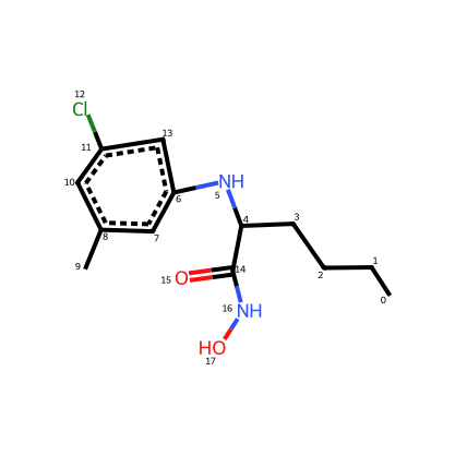 CCCCC(Nc1cc(C)cc(Cl)c1)C(=O)NO